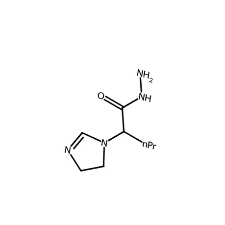 CCCC(C(=O)NN)N1C=NCC1